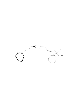 CCC(C)(O)C1(CCCC2OC(COCc3ccccc3)O2)SCCCS1